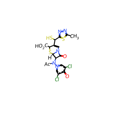 CC(=O)N(C1C(=O)N2C=C(C(S)c3nnc(C)s3)C(C(=O)O)S[C@H]12)n1cc(Cl)c(=O)c(Cl)c1